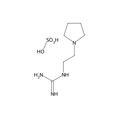 N=C(N)NCCN1CCCC1.O=S(=O)(O)O